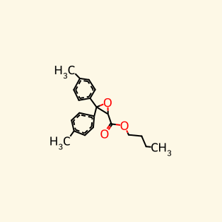 CCCCOC(=O)C1OC1(c1ccc(C)cc1)c1ccc(C)cc1